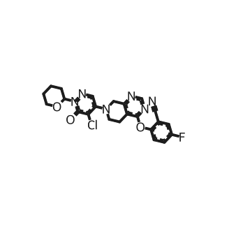 N#Cc1cc(F)ccc1Oc1ncnc2c1CCN(c1cnn(C3CCCCO3)c(=O)c1Cl)C2